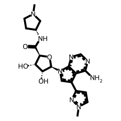 CN1CC[C@@H](NC(=O)[C@H]2O[C@@H](n3cc(-c4ccn(C)n4)c4c(N)ncnc43)[C@H](O)[C@@H]2O)C1